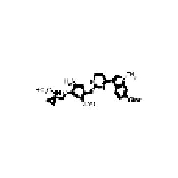 COc1ccc2c(-c3ccnc(Nc4cc(N)c(OCC5(NC(=O)O)CC5)cc4OC)n3)cn(C)c2c1